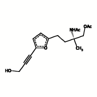 CC(=O)N[C@](C)(CCc1ccc(C#CCO)o1)COC(C)=O